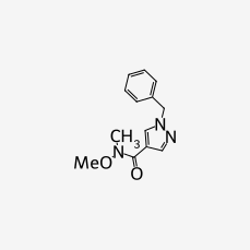 CON(C)C(=O)c1cnn(Cc2ccccc2)c1